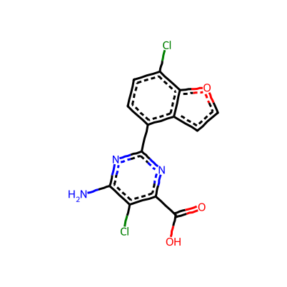 Nc1nc(-c2ccc(Cl)c3occc23)nc(C(=O)O)c1Cl